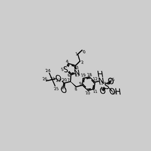 CCCc1csc([C@@H](Cc2ccc(NS(=O)(=O)O)cc2)C(=O)OC(C)(C)C)n1